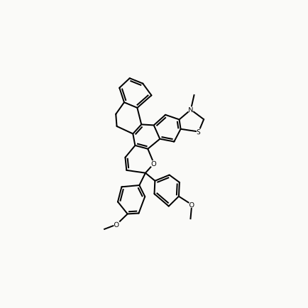 COc1ccc(C2(c3ccc(OC)cc3)C=Cc3c4c(c5cc6c(cc5c3O2)SCN6C)-c2ccccc2CC4)cc1